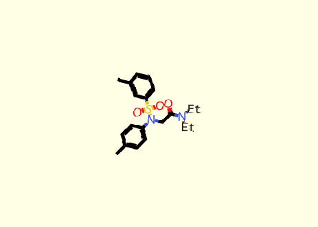 CCN(CC)C(=O)CN(c1ccc(C)cc1)S(=O)(=O)c1cccc(C)c1